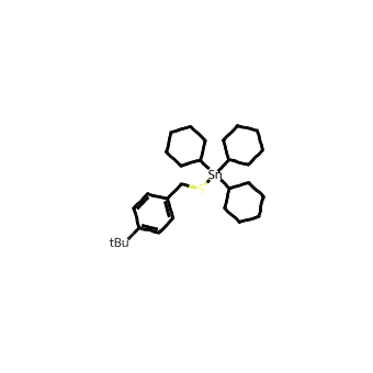 CC(C)(C)c1ccc(C[S][Sn]([CH]2CCCCC2)([CH]2CCCCC2)[CH]2CCCCC2)cc1